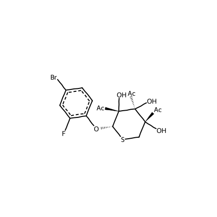 CC(=O)[C@]1(O)[C@@](O)(C(C)=O)CS[C@H](Oc2ccc(Br)cc2F)[C@@]1(O)C(C)=O